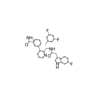 NC(=O)c1cccc(-c2cccnc2[C@H](Cc2cc(F)cc(F)c2)NC(=O)Cc2c[nH]c3cc(F)ccc23)c1